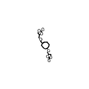 O=C1OCC(COCC2CCCCC(OCC3COC(=O)O3)CCC2)O1